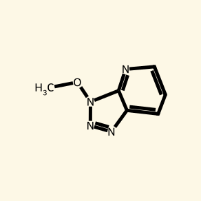 COn1nnc2cccnc21